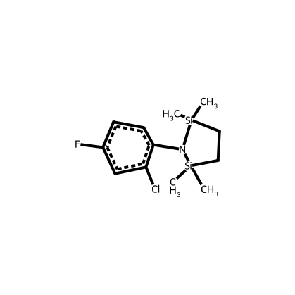 C[Si]1(C)CC[Si](C)(C)N1c1ccc(F)cc1Cl